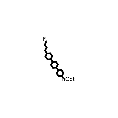 CCCCCCCCC1CCC(C2CCC(C3CCC(CCCCF)CC3)CC2)CC1